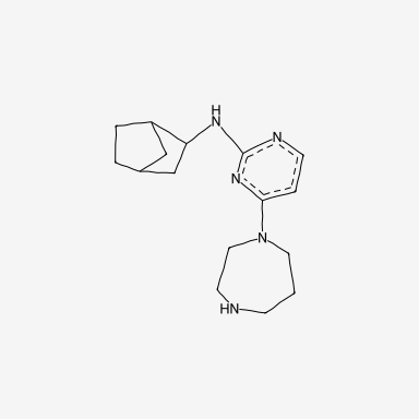 c1cc(N2CCCNCC2)nc(NC2CC3CCC2C3)n1